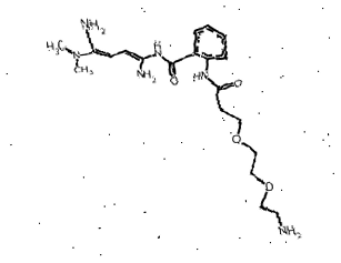 CN(C)/C(N)=C/C=C(\N)NC(=O)c1ccccc1NC(=O)CCOCCOCCN